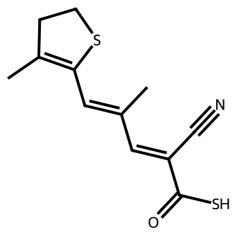 CC1=C(/C=C(C)/C=C(\C#N)C(=O)S)SCC1